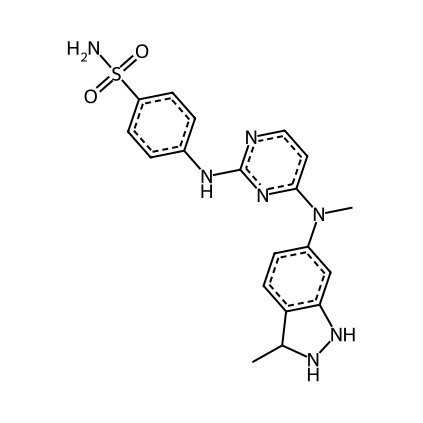 CC1NNc2cc(N(C)c3ccnc(Nc4ccc(S(N)(=O)=O)cc4)n3)ccc21